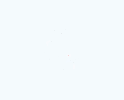 CC(=O)N(O)C(C)C=Cc1cccc(Oc2ccc(F)cc2)c1